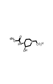 CC(C)(C)OC(=O)N[C@H]1CCN(CC(=O)O)C[C@H]1O